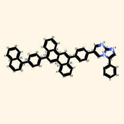 c1ccc(-c2cnc3ncc(-c4ccc(-c5cc6c7ccccc7c(-c7ccc(-c8cccc9ccccc89)cc7)cc6c6ccccc56)cc4)cn23)cc1